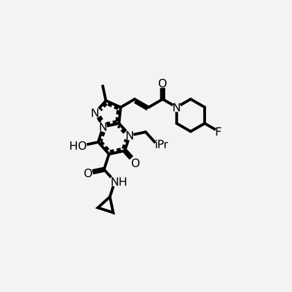 Cc1nn2c(O)c(C(=O)NC3CC3)c(=O)n(CC(C)C)c2c1C=CC(=O)N1CCC(F)CC1